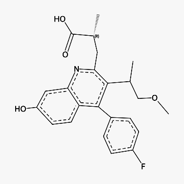 COCC(C)c1c(C[C@@H](C)C(=O)O)nc2cc(O)ccc2c1-c1ccc(F)cc1